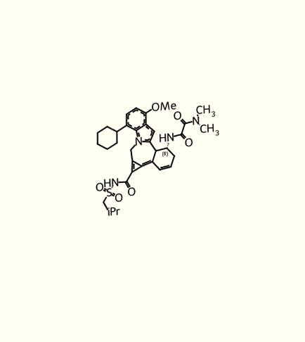 COc1ccc(C2CCCCC2)c2c1cc1n2CC2=C(C(=O)NS(=O)(=O)CC(C)C)C2=C2C=CC[C@@H](NC(=O)C(=O)N(C)C)C21